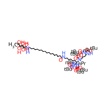 CCCCN(C(=O)OC(C)(C)C)C(NC(=O)OC(C)(C)C)(C(CCCCCCNC(=O)CCCCCCCCCCCCCCCCCNC(=O)[C@H](O)[C@@H](O)[C@H](O)[C@@H](C)O)CN(CCCC(NC(=O)OC(C)(C)C)N(CCC)C(=O)OC(C)(C)C)C(=O)OC(C)(C)C)N(CCC)C(=O)OC(C)(C)C